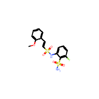 COc1ccccc1C=CS(=O)(=O)Nc1cccc(F)c1S(N)(=O)=O